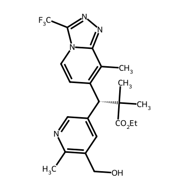 CCOC(=O)C(C)(C)[C@H](c1cnc(C)c(CO)c1)c1ccn2c(C(F)(F)F)nnc2c1C